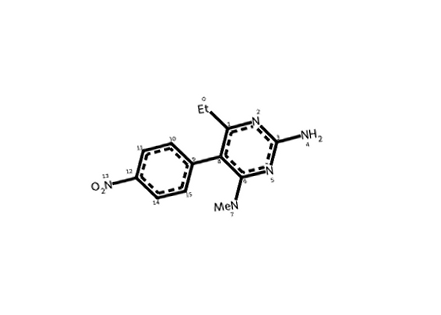 CCc1nc(N)nc(NC)c1-c1ccc([N+](=O)[O-])cc1